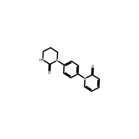 O=C1NCCCN1c1ccc(-n2ccccc2=O)cc1